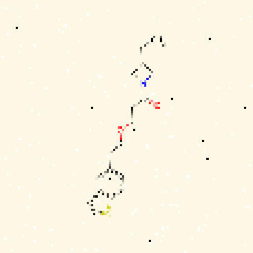 CCC1CN(C(=O)CCOCCc2ccc3sccc3c2)C1